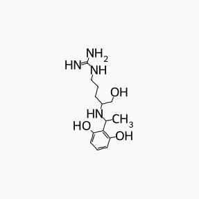 CC(NC(CO)CCCNC(=N)N)c1c(O)cccc1O